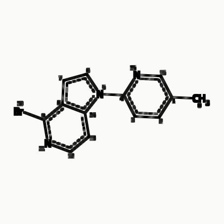 Cc1ccc(-n2ccc3c(Br)nccc32)nc1